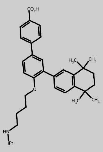 CC(C)NCCCCOc1ccc(-c2ccc(C(=O)O)cc2)cc1-c1ccc2c(c1)C(C)(C)CCC2(C)C